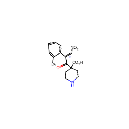 CC(C)c1ccccc1/C(=C\[N+](=O)[O-])C(=O)C1(C(=O)O)CCNCC1